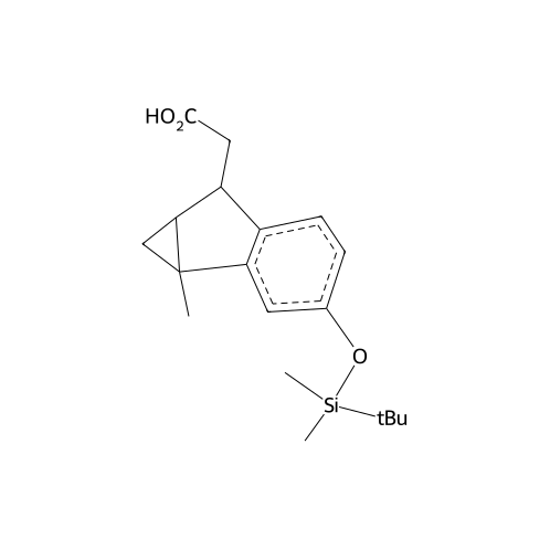 CC12CC1C(CC(=O)O)c1ccc(O[Si](C)(C)C(C)(C)C)cc12